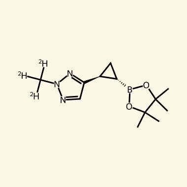 [2H]C([2H])([2H])n1ncc([C@H]2C[C@@H]2B2OC(C)(C)C(C)(C)O2)n1